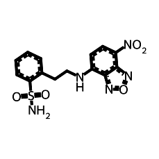 NS(=O)(=O)c1ccccc1CCNc1ccc([N+](=O)[O-])c2nonc12